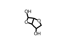 OC1COC2C(O)OC12